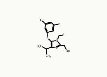 CC(C)c1nc(CO)n(CF)c1Sc1cc(F)cc(F)c1